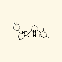 CC1=CC(C)CN=C1[C@@H]1CCC[C@H](c2cn3c(-c4ccncc4)cccc3n2)N1